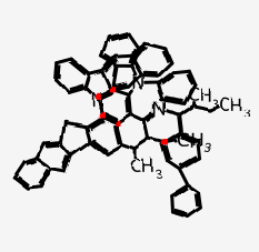 CCC(C)C(/N=C(/c1cccc2c3ccccc3n(-c3ccccc3)c12)C(CC)C(C)c1cc2c(c(-n3c4ccccc4c4cc5ccccc5cc43)c1)Cc1cc3ccccc3cc1-2)c1ccc(-c2ccccc2)cc1